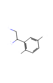 Cc1ccc(C)c(C(N)CN)c1